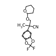 CC(C#N)(COC1CCCCO1)c1ccc2c(c1)OC(F)(F)O2